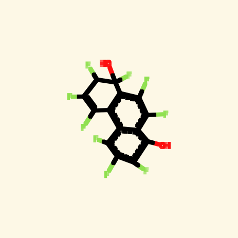 Oc1c(F)c(F)c(F)c2c3c(c(F)c(F)c12)C(O)(F)C(F)C(F)=C3F